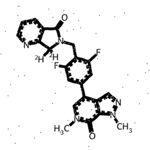 [2H]C1([2H])c2ncccc2C(=O)N1Cc1c(F)cc(-c2cn(C)c(=O)c3c2cnn3C)cc1F